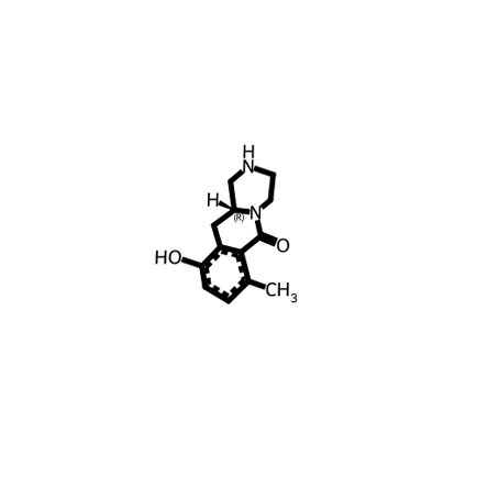 Cc1ccc(O)c2c1C(=O)N1CCNC[C@H]1C2